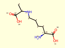 CC(NCCCC[C@H](N)C(=O)O)C(=O)O